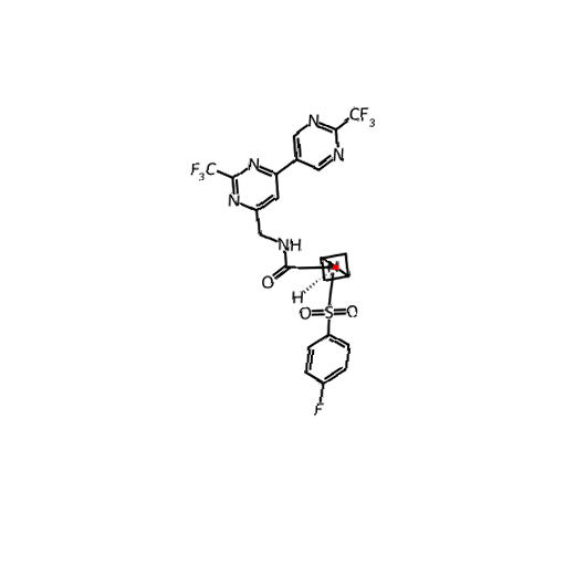 O=C(NCc1cc(-c2cnc(C(F)(F)F)nc2)nc(C(F)(F)F)n1)[C@@H]1C2CC(C2)N1S(=O)(=O)c1ccc(F)cc1